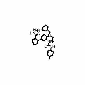 CCCN(Cc1ccccc1)c1ccc(-c2ccccc2-c2nnn[nH]2)cc1NC(=O)Nc1ccc(C)cc1